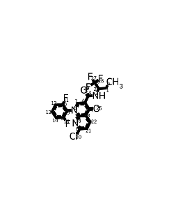 CCC(NC(=O)c1cn(-c2c(F)cccc2F)c2nc(Cl)ccc2c1=O)C(F)(F)F